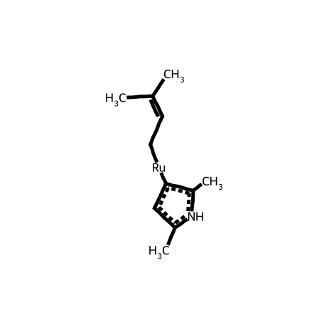 CC(C)=C[CH2][Ru][c]1cc(C)[nH]c1C